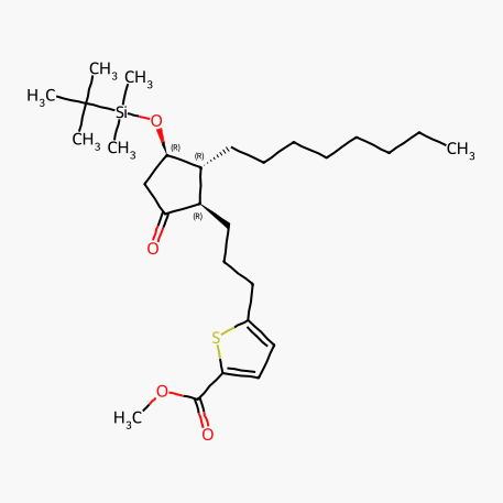 CCCCCCCC[C@H]1[C@H](O[Si](C)(C)C(C)(C)C)CC(=O)[C@@H]1CCCc1ccc(C(=O)OC)s1